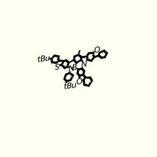 Cc1cc2c3c4c1c1cc5oc6ccccc6c5cc1n4-c1cc4c(cc1B3N(c1ccc(C(C)(C)C)cc1)c1cc3sc5cc(C(C)(C)C)ccc5c3cc1-2)oc1ccccc14